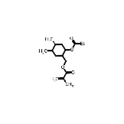 C=C(C)C(=O)OCC1CC(C)[C@@H](C)CC1OC(=O)CC